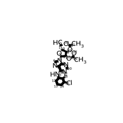 C#C[C@H]1O[C@@H](n2cnc3c(Nc4cccc(Cl)c4F)ncnc32)[C@H](OC(C)=O)[C@H]1OC(C)=O